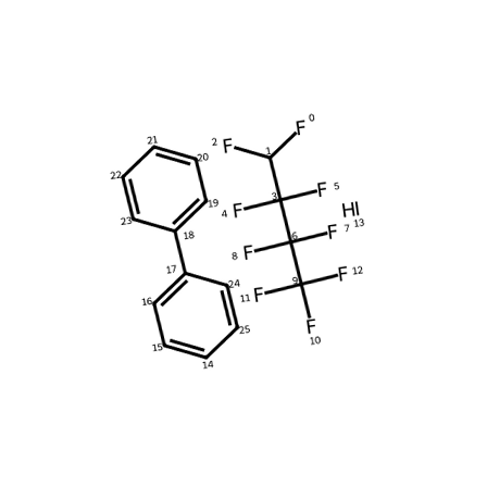 FC(F)C(F)(F)C(F)(F)C(F)(F)F.I.c1ccc(-c2ccccc2)cc1